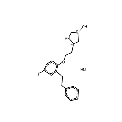 Cl.O[C@H]1CN[C@H](CCOc2ccc(F)cc2CCc2ccccc2)C1